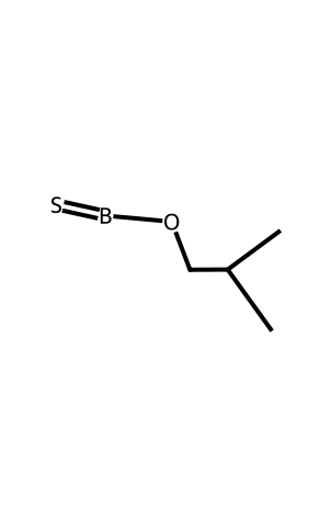 CC(C)COB=S